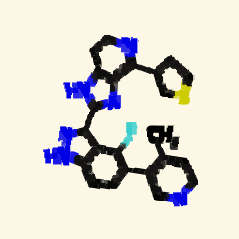 Cc1ccncc1-c1ccc2[nH]nc(-c3nc4c(-c5ccsc5)nccc4[nH]3)c2c1F